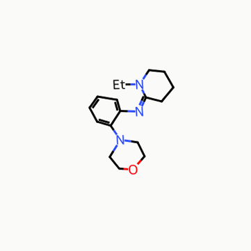 CCN1CCCCC1=Nc1ccccc1N1CCOCC1